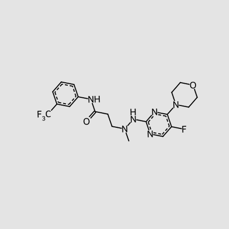 CN(CCC(=O)Nc1cccc(C(F)(F)F)c1)Nc1ncc(F)c(N2CCOCC2)n1